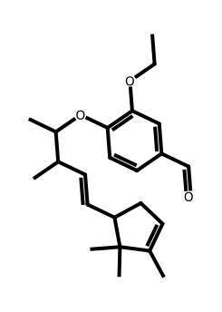 CCOc1cc(C=O)ccc1OC(C)C(C)/C=C/C1CC=C(C)C1(C)C